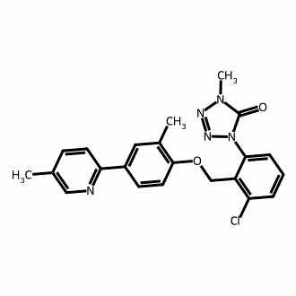 Cc1ccc(-c2ccc(OCc3c(Cl)cccc3-n3nnn(C)c3=O)c(C)c2)nc1